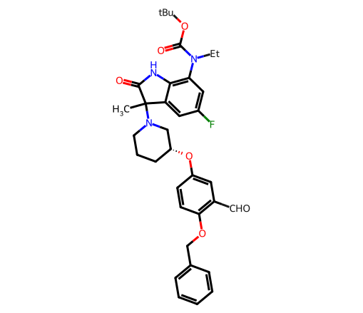 CCN(C(=O)OC(C)(C)C)c1cc(F)cc2c1NC(=O)C2(C)N1CCC[C@@H](Oc2ccc(OCc3ccccc3)c(C=O)c2)C1